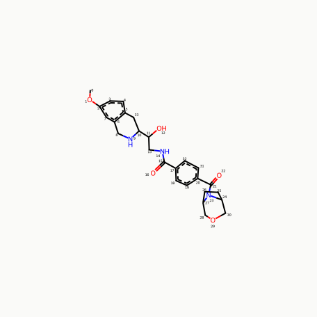 COc1ccc2c(c1)CNC(C(O)CNC(=O)c1ccc(C(=O)N3C4CCC3COC4)cc1)C2